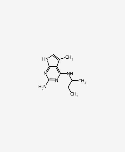 CCC(C)Nc1nc(N)nc2[nH]cc(C)c12